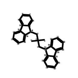 CC(C)(Cn1c2ccccc2c2ccccc21)Cn1c2ccccc2c2ccccc21